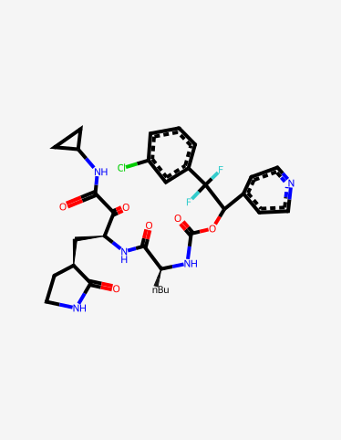 CCCC[C@H](NC(=O)OC(c1ccncc1)C(F)(F)c1cccc(Cl)c1)C(=O)N[C@@H](C[C@@H]1CCNC1=O)C(=O)C(=O)NC1CC1